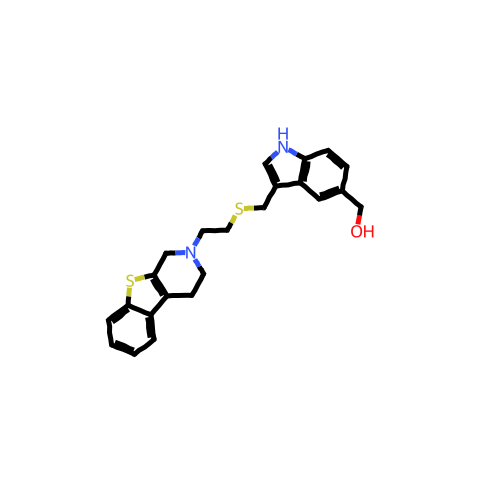 OCc1ccc2[nH]cc(CSCCN3CCc4c(sc5ccccc45)C3)c2c1